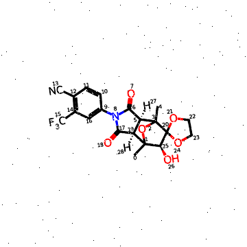 CC12OC(C)([C@@H]3C(=O)N(c4ccc(C#N)c(C(F)(F)F)c4)C(=O)[C@@H]31)C1(OCCO1)[C@H]2O